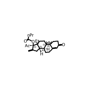 C=C1C[C@H]2[C@@H]3CCC4=CC(=O)CC[C@@H]4[C@H]3CC[C@]2(CC)[C@]1(OC(=O)CCC)C(C)=O